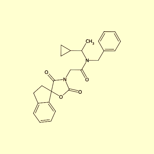 CC(C1CC1)N(Cc1ccccc1)C(=O)CN1C(=O)OC2(CCc3ccccc32)C1=O